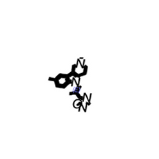 C/C(=C\n1c2c(c3cc(C)ccc31)CN(C)CC2)c1ncno1